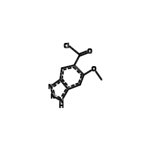 COc1cc2[nH]nnc2cc1C(=O)Cl